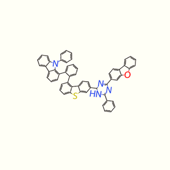 c1ccc(C2=NC(c3ccc4c(c3)oc3ccccc34)=NC(c3ccc4c(c3)sc3cccc(-c5ccccc5-c5cccc6c7ccccc7n(-c7ccccc7)c56)c34)N2)cc1